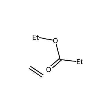 C=C.CCOC(=O)CC